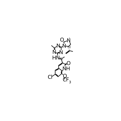 C=C(C)[C@H]1CN(C)C(=O)N1c1nc(C)nc(N[C@@H](C)c2cc3cc(Cl)cc(OC(F)(F)F)c3[nH]c2=O)n1